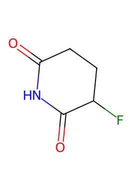 O=C1CCC(F)C(=O)N1